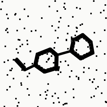 [CH]=Cc1ccc(-c2ccccn2)nc1